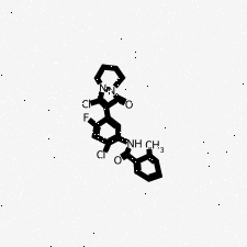 Cc1ccccc1C(=O)Nc1cc(-c2c(Cl)n3n(c2=O)CCCC3)c(F)cc1Cl